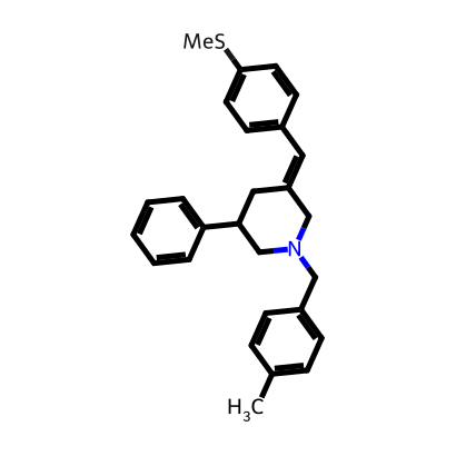 CSc1ccc(C=C2CC(c3ccccc3)CN(Cc3ccc(C)cc3)C2)cc1